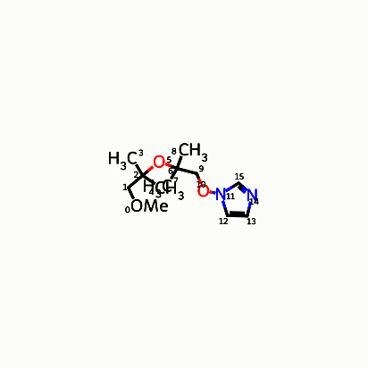 COCC(C)(C)OC(C)(C)COn1ccnc1